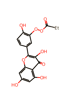 CCC(=O)OOc1cc(-c2oc3cc(O)cc(O)c3c(=O)c2O)ccc1O